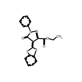 CCOC(=O)C1=NN(c2ccccc2)C(=O)C1=C1Sc2ccccc2S1